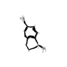 Nc1ccc2c(c1)CCN2N